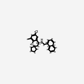 Cc1cc(Cl)cc2c1OC1(CCCC1)C[C@H]2NCc1cccc2ccccc12